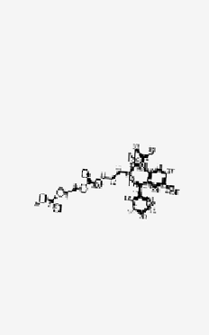 COC(=O)OCCOC(=O)OCCC[C@@H]1N=C(c2ccccn2)c2cc(Br)ccc2-n2c(C)cnc21